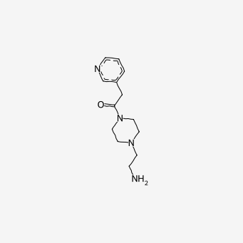 NCCN1CCN(C(=O)Cc2cccnc2)CC1